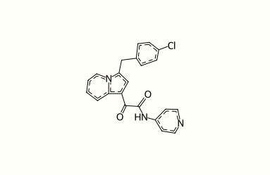 O=C(Nc1ccncc1)C(=O)c1cc(Cc2ccc(Cl)cc2)n2ccccc12